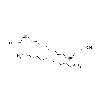 CC/C=C\CCCCCCCC/C=C\CCCC.CCCCCCCCCOOC